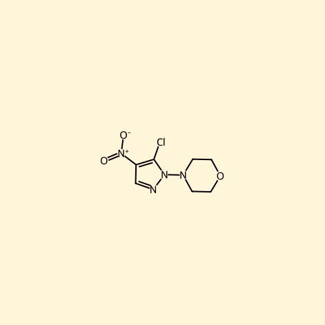 O=[N+]([O-])c1cnn(N2CCOCC2)c1Cl